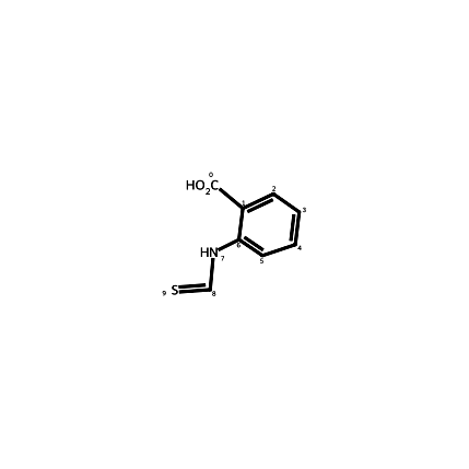 O=C(O)c1ccccc1NC=S